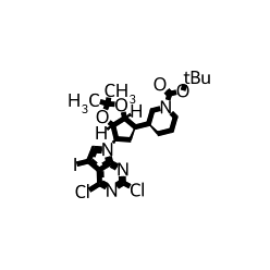 CC(C)(C)OC(=O)N1CCC[C@@H]([C@H]2C[C@@H](n3cc(I)c4c(Cl)nc(Cl)nc43)[C@@H]3OC(C)(C)O[C@H]23)C1